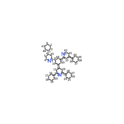 c1ccc(-c2ccnc(-c3cc(-c4cc(-c5ccccc5)nc(-c5ccccc5)c4)cc(-c4cc(-c5ccccc5)ccn4)c3)c2)cc1